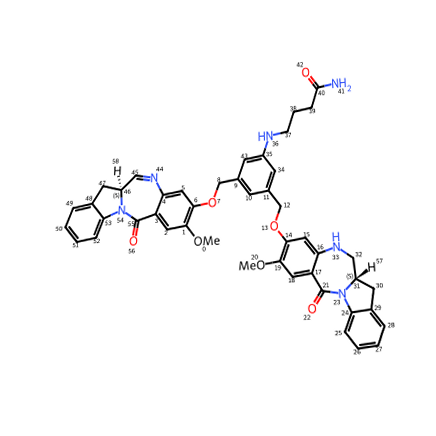 COc1cc2c(cc1OCc1cc(COc3cc4c(cc3OC)C(=O)N3c5ccccc5C[C@H]3CN4)cc(NCCCC(N)=O)c1)N=C[C@@H]1Cc3ccccc3N1C2=O